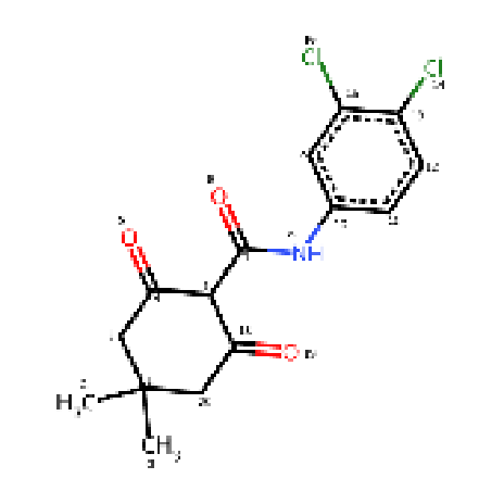 CC1(C)CC(=O)C(C(=O)Nc2ccc(Cl)c(Cl)c2)C(=O)C1